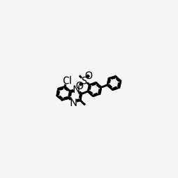 Cc1nc2cccc(Cl)c2nc1-c1ccc(-c2ccccc2)cc1S(C)(=O)=O